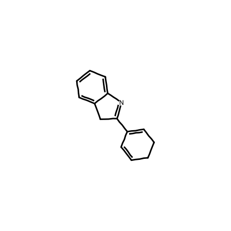 C1=CC(C2=Nc3ccccc3C2)=CCC1